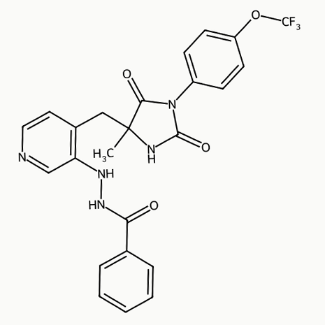 CC1(Cc2ccncc2NNC(=O)c2ccccc2)NC(=O)N(c2ccc(OC(F)(F)F)cc2)C1=O